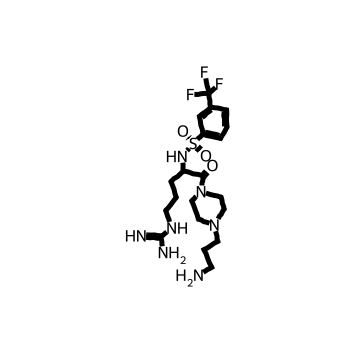 N=C(N)NCCCC(NS(=O)(=O)c1cccc(C(F)(F)F)c1)C(=O)N1CCN(CCCN)CC1